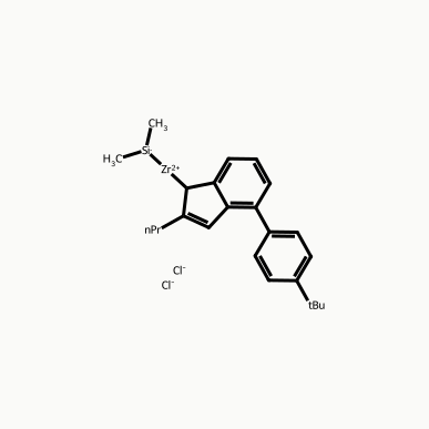 CCCC1=Cc2c(-c3ccc(C(C)(C)C)cc3)cccc2[CH]1[Zr+2][Si](C)C.[Cl-].[Cl-]